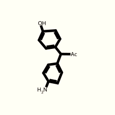 CC(=O)C(c1ccc(N)cc1)c1ccc(O)cc1